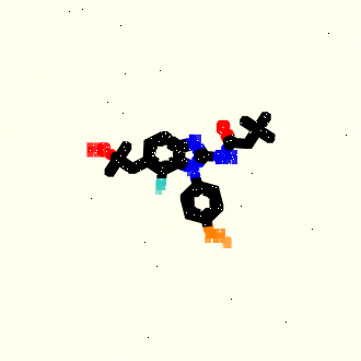 CC(C)(C)CC(=O)Nc1nc2ccc(CC(C)(C)O)c(F)c2n1-c1ccc(P)cc1